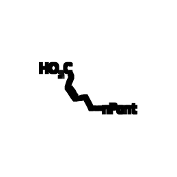 CCCCCCC/C=C\CC(=O)O